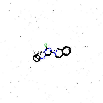 O=C(O)[C@H]1C2CCC(CC2)[C@@H]1Nc1cc(N2CCc3ccccc3C2)nc(Cl)n1